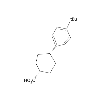 CC(C)(C)c1ccc([C@H]2CC[C@@H](C(=O)O)CC2)cc1